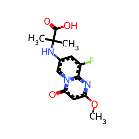 COc1cc(=O)n2cc(NC(C)(C)C(=O)O)cc(F)c2n1